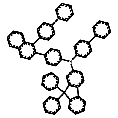 c1ccc(-c2ccc(-c3c(-c4ccc(N(c5ccc(-c6ccccc6)cc5)c5ccc6c(c5)C(c5ccccc5)(c5ccccc5)c5ccccc5-6)cc4)ccc4ccccc34)cc2)cc1